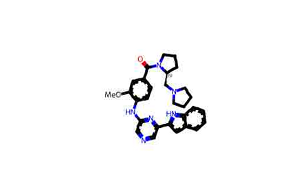 COc1cc(C(=O)N2CCC[C@H]2CN2CCCC2)ccc1Nc1cncc(-c2cc3ccccc3[nH]2)n1